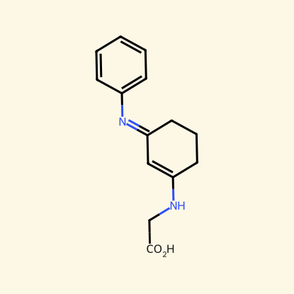 O=C(O)CNC1=CC(=Nc2ccccc2)CCC1